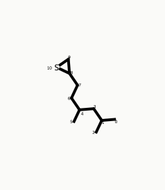 CC(C)CC(C)CCC1CS1